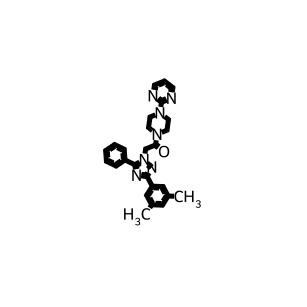 Cc1cc(C)cc(-c2nc(-c3ccccc3)n(CC(=O)N3CCN(c4ncccn4)CC3)n2)c1